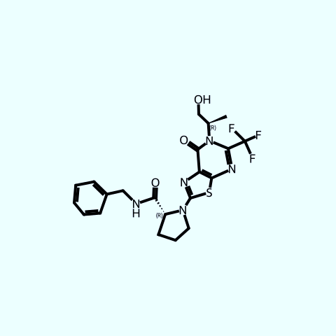 C[C@H](CO)n1c(C(F)(F)F)nc2sc(N3CCC[C@@H]3C(=O)NCc3ccccc3)nc2c1=O